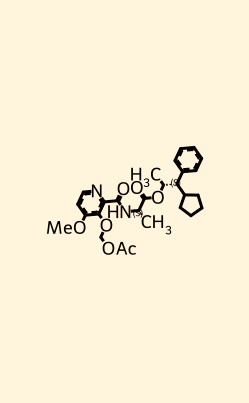 COc1ccnc(C(=O)N[C@@H](C)C(=O)OC(C)[C@H](c2ccccc2)C2CCCC2)c1OCOC(C)=O